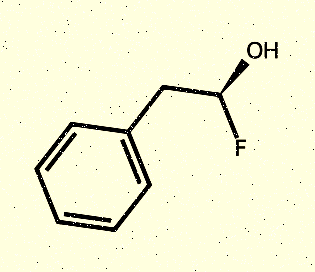 O[C@@H](F)Cc1ccccc1